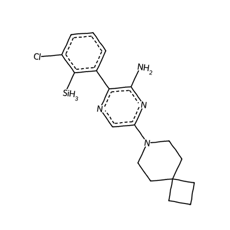 Nc1nc(N2CCC3(CCC3)CC2)cnc1-c1cccc(Cl)c1[SiH3]